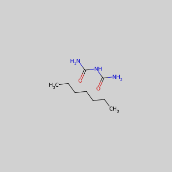 CCCCCCC.NC(=O)NC(N)=O